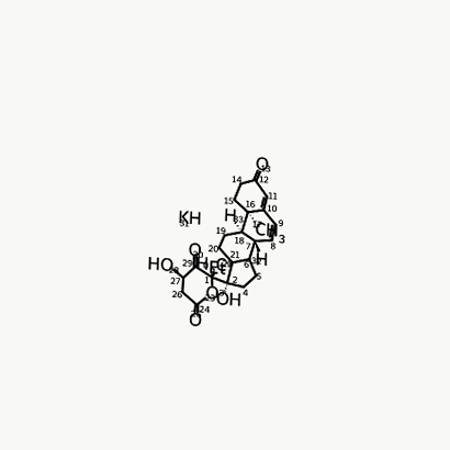 CC[C@]1([C@]2(O)CCC3[C@H]4C=CC5=CC(=O)CC[C@]5(C)[C@@H]4CC[C@@]32C)OC(=O)CC(O)C1=O.[KH]